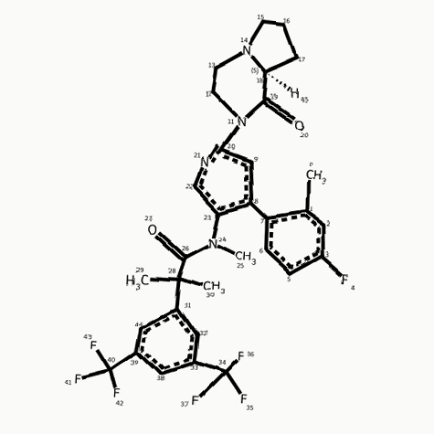 Cc1cc(F)ccc1-c1cc(N2CCN3CCC[C@H]3C2=O)ncc1N(C)C(=O)C(C)(C)c1cc(C(F)(F)F)cc(C(F)(F)F)c1